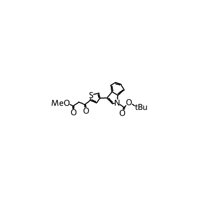 COC(=O)CC(=O)c1cc(-c2cn(C(=O)OC(C)(C)C)c3ccccc23)cs1